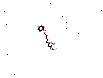 O=C(O)C1=NOC(CCCCCOc2ccccc2)C1